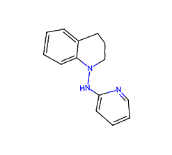 c1ccc(NN2CCCc3ccccc32)nc1